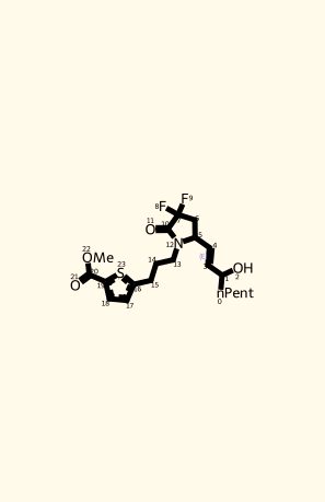 CCCCCC(O)/C=C/C1CC(F)(F)C(=O)N1CCCc1ccc(C(=O)OC)s1